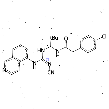 CC(C)(C)C(NC(=O)Cc1ccc(Cl)cc1)N/C(=N/C#N)Nc1cccc2cnccc12